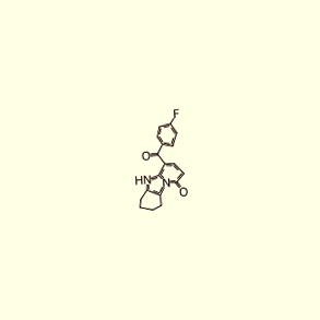 O=C(c1ccc(F)cc1)c1ccc(=O)n2c3c([nH]c12)CCCC3